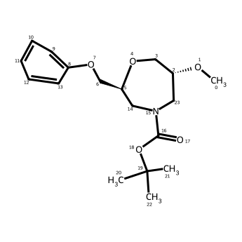 CO[C@H]1CO[C@H](COc2ccccc2)CN(C(=O)OC(C)(C)C)C1